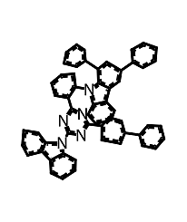 c1ccc(-c2ccc(-c3nc(-c4ccccc4-n4c5ccccc5c5cc(-c6ccccc6)cc(-c6ccccc6)c54)nc(-n4c5ccccc5c5ccccc54)n3)cc2)cc1